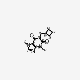 Cn1cnc2c1c(=O)n(CC1CCC1)c(=O)n2C